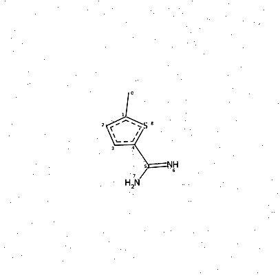 Cc1ccc(C(=N)N)s1